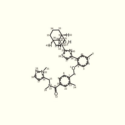 Cc1ccc(OCc2ccc(C(=O)N(C)Cc3ccnn3C)cc2C)c(-c2csc(N3C[C@H]4CCC[C@@H](C3)[C@H]4C(=O)O)n2)c1